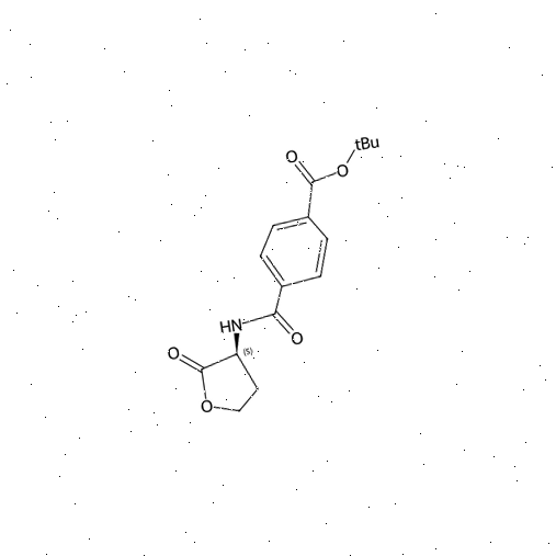 CC(C)(C)OC(=O)c1ccc(C(=O)N[C@H]2CCOC2=O)cc1